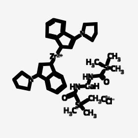 C1=C(N2CCCC2)c2ccccc2[CH]1[Zr+2][CH]1C=C(N2CCCC2)c2ccccc21.C[Si](C)(C)C(=O)[NH][GaH][NH]C(=O)[Si](C)(C)C.[Cl-].[Cl-]